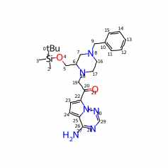 CC(C)(C)[Si](C)(C)OCC1CN(Cc2ccccc2)CCN1CC(=O)c1ccc2c(N)ncnn12